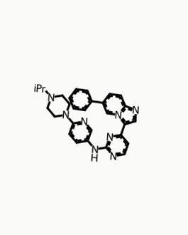 CC(C)N1CCN(c2ccc(Nc3nccc(-c4cnc5ccc(-c6ccccc6)cn45)n3)cn2)CC1